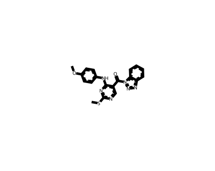 COc1ccc(Nc2nc(SC)ncc2C(=O)n2nnc3ccccc32)cc1